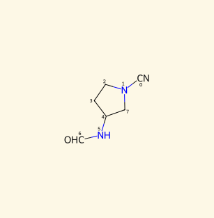 N#CN1CCC(NC=O)C1